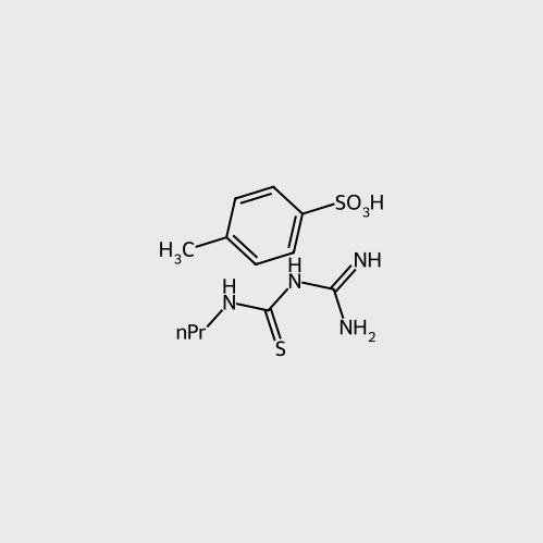 CCCNC(=S)NC(=N)N.Cc1ccc(S(=O)(=O)O)cc1